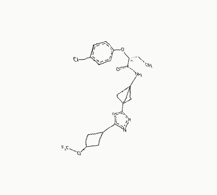 O=C(NC12CC(c3nnc(C4CC(OC(F)(F)F)C4)o3)(C1)C2)[C@@H](CO)Oc1ccc(Cl)cc1